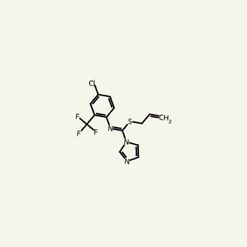 C=CCSC(=Nc1ccc(Cl)cc1C(F)(F)F)n1ccnc1